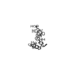 C#CCN(c1ccc(C(=O)N[C@@H](CCC(=O)N(C)[C@H](CCC(=O)O)C(=O)O)C(=O)O)cc1)C1CCc2cc3nc(CO)[nH]c(=O)c3cc21